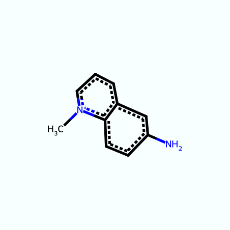 C[n+]1cccc2cc(N)ccc21